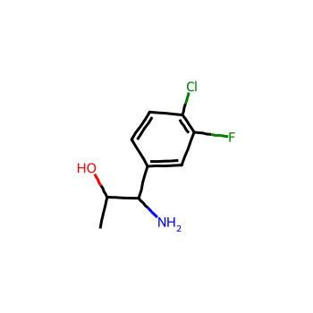 CC(O)C(N)c1ccc(Cl)c(F)c1